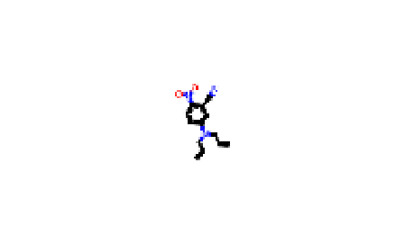 C=CCN(CC=C)c1ccc([N+](=O)[O-])c(C#N)c1